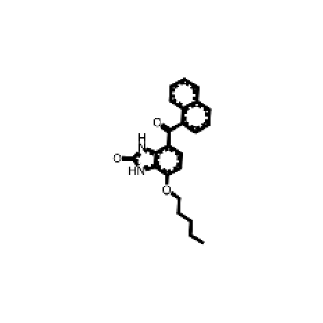 CCCCCOc1ccc(C(=O)c2cccc3ccccc23)c2[nH]c(=O)[nH]c12